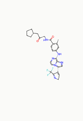 Cc1cc(Nc2nccn3c(C4=CCN=C4C(F)(F)F)cnc23)ccc1C(=O)NCC(=O)CC1CCCC1